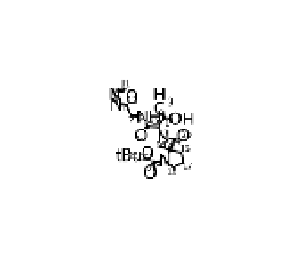 CC(O)C(C(=O)NCc1nnco1)N1CC2(CCCN2C(=O)OC(C)(C)C)C1=O